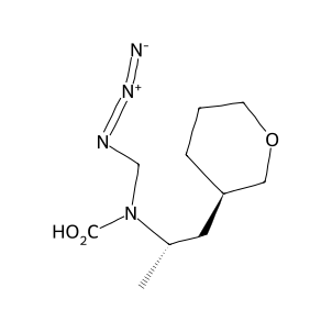 C[C@@H](C[C@H]1CCCOC1)N(CN=[N+]=[N-])C(=O)O